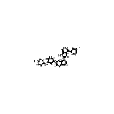 Fc1cccc(-c2cncc3[nH]c(-c4n[nH]c5ccc(-c6cncc(OC7CCNCC7)c6)cc45)cc23)c1